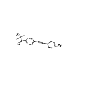 CCc1ccc(C#Cc2ccc(C(=O)C(C)(C)Br)cc2)cc1